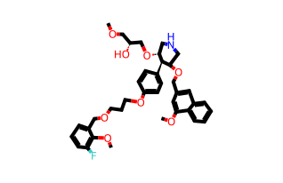 COC[C@@H](O)CO[C@@H]1CNCC(OCc2cc(OC)c3ccccc3c2)[C@H]1c1ccc(OCCCOCc2cccc(F)c2OC)cc1